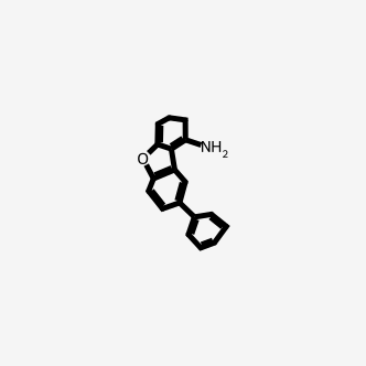 NC1=c2c(oc3ccc(-c4ccccc4)cc23)=CCC1